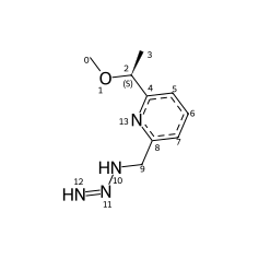 CO[C@@H](C)c1cccc(CNN=N)n1